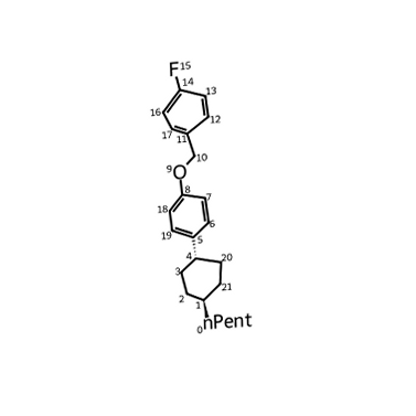 CCCCC[C@H]1CC[C@H](c2ccc(OCc3ccc(F)cc3)cc2)CC1